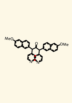 COc1ccc2cc(C(C(=O)C(c3ccncc3)c3ccc4cc(OC)ccc4c3)c3ccncc3)ccc2c1